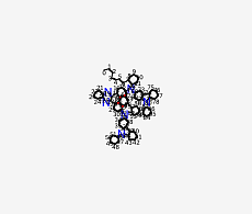 C\C=C/C=C\C=C\c1ccccc1N(c1ccc(-c2nc3ccccc3nc2-c2ccc(N(c3ccc4c(c3)c3ccccc3n4-c3ccccc3)c3ccccc3-c3ccccc3)cc2)cc1)c1ccc2c(c1)c1ccccc1n2-c1ccccc1